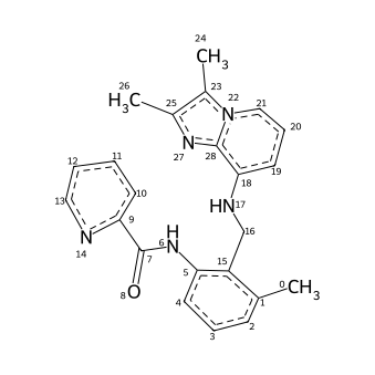 Cc1cccc(NC(=O)c2ccccn2)c1CNc1cccn2c(C)c(C)nc12